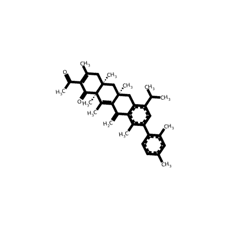 C=C1C2=C(C)[C@@]3(C)C(=O)C(C(C)=O)=C(C)C[C@@]3(C)C[C@@]2(C)Cc2c(C(C)C)cc(-c3ccc(C)cc3C)c(C)c21